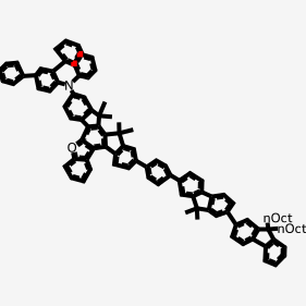 CCCCCCCCC1(CCCCCCCC)c2ccccc2-c2ccc(-c3ccc4c(c3)C(C)(C)c3cc(-c5ccc(-c6ccc7c(c6)C(C)(C)c6c8c(c9oc%10ccccc%10c9c6-7)-c6ccc(N(c7ccccc7)c7ccc(-c9ccccc9)cc7-c7ccccc7)cc6C8(C)C)cc5)ccc3-4)cc21